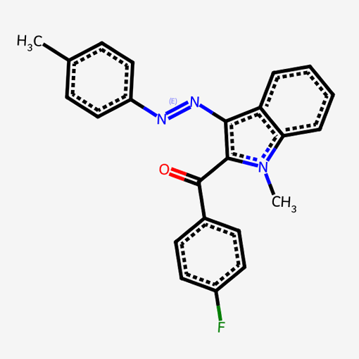 Cc1ccc(/N=N/c2c(C(=O)c3ccc(F)cc3)n(C)c3ccccc23)cc1